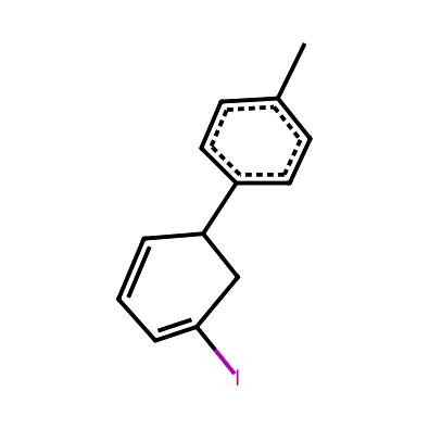 Cc1ccc(C2C=CC=C(I)C2)cc1